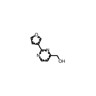 OCc1ccnc(-c2ccoc2)n1